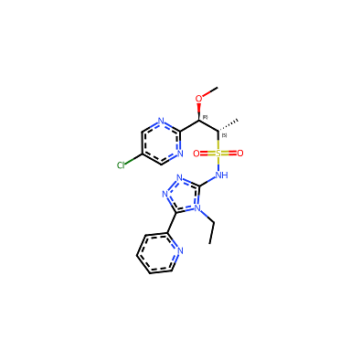 CCn1c(NS(=O)(=O)[C@@H](C)[C@H](OC)c2ncc(Cl)cn2)nnc1-c1ccccn1